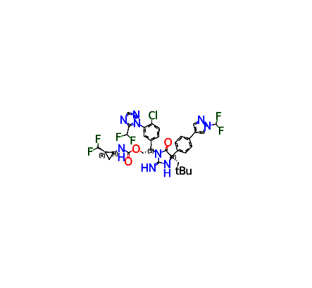 CC(C)(C)C[C@]1(c2ccc(-c3cnn(C(F)F)c3)cc2)NC(=N)N([C@H](COC(=O)N[C@@H]2C[C@H]2C(F)F)c2ccc(Cl)c(-n3ncnc3C(F)F)c2)C1=O